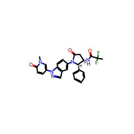 Cn1cc(-n2ncc3cc(N4C(=O)C[C@H](NC(=O)C(C)(F)F)[C@H]4c4ccccc4)ccc32)ccc1=O